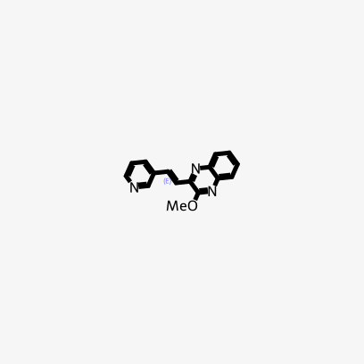 COc1nc2ccccc2nc1/C=C/c1cccnc1